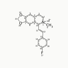 C[n+]1ccc2cc3c(cc2c1/C=C/c1ccc(F)cc1)OCO3.[I-]